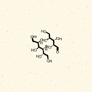 O=C[C@H](O)[C@@H](O)[C@@H](O)CO.OC[C@@H](O)[C@H](O)[C@H](O)[C@@H](O)CO